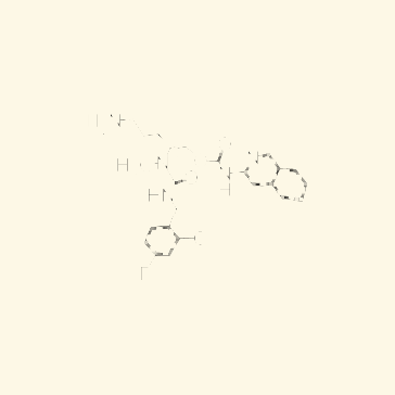 CN(C(=O)NCc1ccc(F)cc1Cl)[C@@H](CCCN)COC(=O)Nc1cc2ccccc2cn1